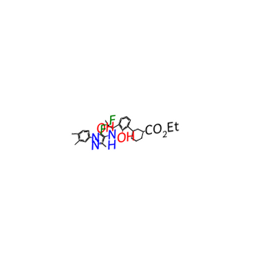 CCOC(=O)C1CCCC(c2cccc(C(Nc3c(C)nn(-c4ccc(C)c(C)c4)c3O)C(C)(F)F)c2O)C1